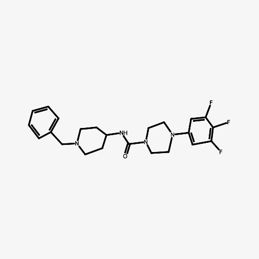 O=C(NC1CCN(Cc2ccccc2)CC1)N1CCN(c2cc(F)c(F)c(F)c2)CC1